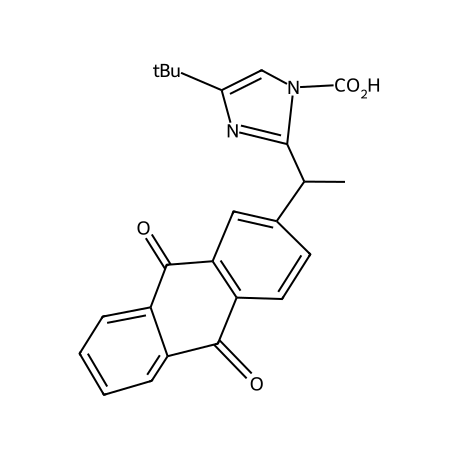 CC(c1ccc2c(c1)C(=O)c1ccccc1C2=O)c1nc(C(C)(C)C)cn1C(=O)O